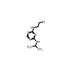 CC(C)Nc1ncnc(NCCCl)n1